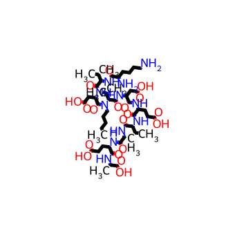 CCCCCN(C(=O)C(CC(=O)O)NC(=O)C(NC(=O)C(N)CCCCN)C(C)C)C(C(=O)NC(CC(=O)O)C(=O)NC(CCC(=O)O)C(=O)NC(C(=O)NCC(=O)NC(CCC(=O)O)C(=O)NC(C)C(=O)O)C(C)C)C(C)C